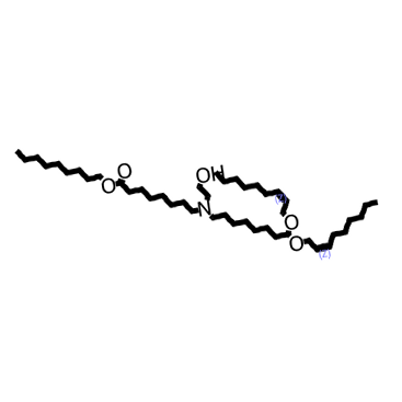 CCCCCC/C=C\COC(CCCCCCCN(CCO)CCCCCCCC(=O)OCCCCCCCCC)OC/C=C\CCCCCC